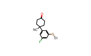 CCSc1cc(F)cc(C2(C#N)CCC(=O)CC2)c1